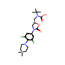 CC(C)(C)N(C[C@@H]1CN(c2cc(F)c(N3CC[Si](C)(C)CC3)c(F)c2)C(=O)O1)C(=O)O